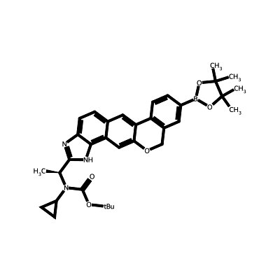 C[C@@H](c1nc2ccc3cc4c(cc3c2[nH]1)OCc1cc(B2OC(C)(C)C(C)(C)O2)ccc1-4)N(C(=O)OC(C)(C)C)C1CC1